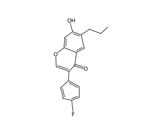 CCCc1cc2c(=O)c(-c3ccc(F)cc3)coc2cc1O